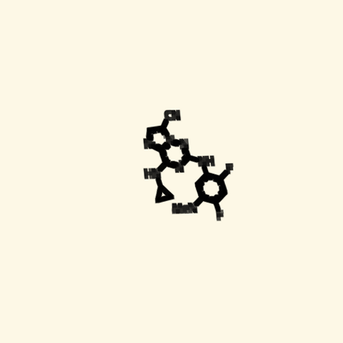 CNc1cc(Nc2nc(NC3CC3)c3ncc(C#N)n3n2)c(F)cc1F